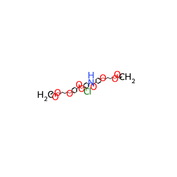 C=CC(=O)OCCCCOc1ccc(C(=O)Nc2ccc(OC(=O)c3ccc(OCCCCOC(=O)C=C)cc3)c(Cl)c2)cc1